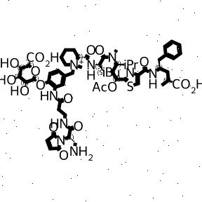 CC[C@H](C)[C@H](NC(=O)[C@H]1CCCC[N+]1(C)Cc1ccc(O[C@@H]2O[C@H](C(=O)O)[C@@H](O)[C@H](O)[C@H]2O)c(NC(=O)CCNC(=O)[C@H](CN)N2C(=O)C=CC2=O)c1)C(=O)N(C)[C@H](C[C@@H](OC(C)=O)c1nc(C(=O)N[C@@H](Cc2ccccc2)C[C@H](C)C(=O)O)cs1)C(C)C